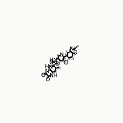 Cc1nc2cc(-c3ncc(NS(=O)(=O)c4nc5[nH]c(=O)c(=O)[nH]c5cc4C)cc3Cl)ccc2o1